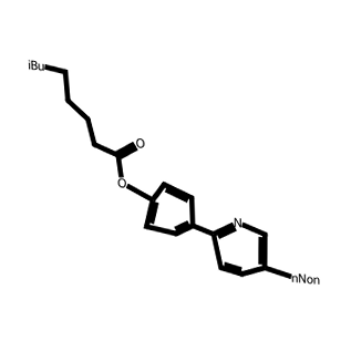 CCCCCCCCCc1ccc(-c2ccc(OC(=O)CCCCC(C)CC)cc2)nc1